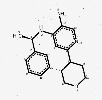 C[C@@H](Nc1cc(C2CCOCC2)ncc1N)c1ccccc1